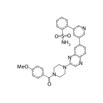 COc1ccc(C(=O)N2CCN(c3cnc4ccc(-c5cncc(-c6ccccc6S(N)(=O)=O)c5)cc4n3)CC2)cc1